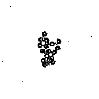 c1ccc(-c2nc3ccccc3nc2-n2c3cccc4c5ccc(-c6cccc(N(c7ccccc7)c7ccc(-n8c9cccc%10c%11ccccc%11c%11cccc%12c%11c%11c(c%109)c8ccc%11n%12-c8ccccc8)cc7)c6)cc5c5cccc6c5c5c(c43)c2c(-c2ccccc2)cc5n6-c2ccccc2)cc1